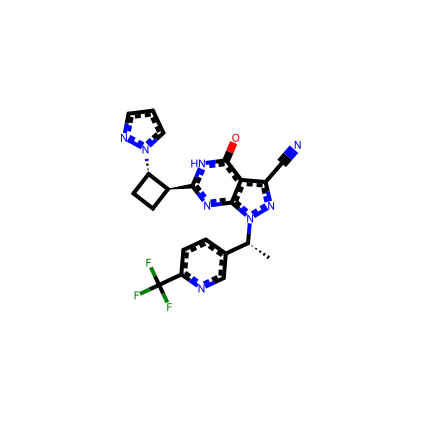 C[C@H](c1ccc(C(F)(F)F)nc1)n1nc(C#N)c2c(=O)[nH]c([C@H]3CC[C@@H]3n3cccn3)nc21